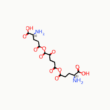 N[C@@H](CCC(=O)OC(=O)CCC(=O)C(=O)OC(=O)CC[C@H](N)C(=O)O)C(=O)O